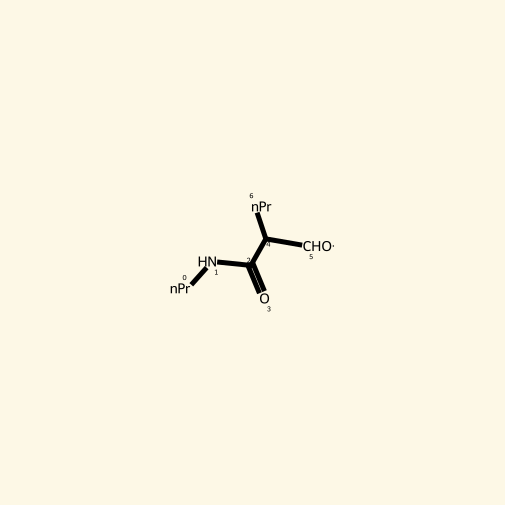 CCCNC(=O)C([C]=O)CCC